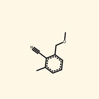 COCc1cccc(C)c1C#N